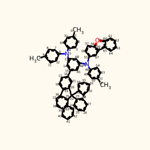 Cc1ccc(N(c2ccc(C)cc2)c2cc(-c3ccc4c(c3)C(c3ccccc3)(c3ccccc3)c3c-4ccc4ccccc34)cc(N(c3ccc(C)cc3)c3ccc4oc5ccccc5c4c3)c2)cc1